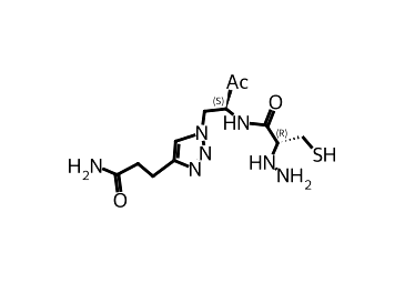 CC(=O)[C@H](Cn1cc(CCC(N)=O)nn1)NC(=O)[C@H](CS)NN